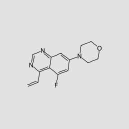 C=Cc1ncnc2cc(N3CCOCC3)cc(F)c12